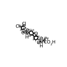 CC(C)[C@H](NS(=O)(=O)c1ccc2c(c1)oc1ccc(NS(=O)(=O)c3cc(Cl)c(Cl)s3)cc12)C(=O)O